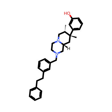 C[C@H]1CN2CCN(Cc3cccc(CCc4ccccc4)c3)C[C@H]2C[C@@]1(C)c1cccc(O)c1